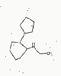 CCNC1CCCCC1N1CCCC1